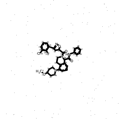 COC1CCN(c2cccc3c2CCN(C(=O)C2CC(c4cccc(Cl)c4F)=NO2)C3C(=O)Nc2ccccc2)CC1